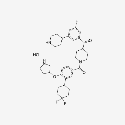 Cl.O=C(c1cc(F)cc(N2CCNCC2)c1)N1CCN(C(=O)c2ccc(OC3CCNC3)c(C3CCC(F)(F)CC3)c2)CC1